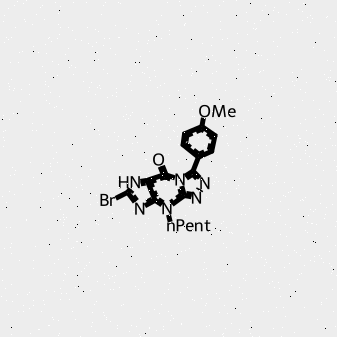 CCCCCn1c2nc(Br)[nH]c2c(=O)n2c(-c3ccc(OC)cc3)nnc12